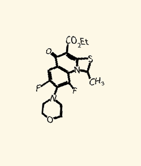 CCOC(=O)c1c2n(c3c(F)c(N4CCOCC4)c(F)cc3c1=O)C(C)S2